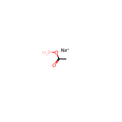 [BH3-]OC(C)=O.[Na+]